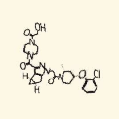 C[C@@H]1C[C@H](Oc2ccccc2Cl)CCN1C(=O)Cn1nc(C(=O)N2CCN(C(=O)CO)CC2)c2c1C[C@H]1C[C@@H]21